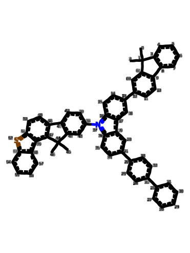 CC1(C)c2ccccc2-c2ccc(-c3ccc4c(c3)c3cc(-c5ccc(-c6ccccc6)cc5)ccc3n4-c3ccc4c(c3)C(C)(C)c3c-4ccc4sc5ccccc5c34)cc21